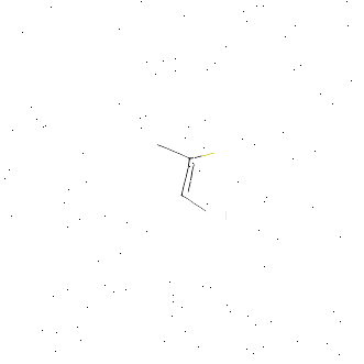 C/[C]=C(/C)[S]